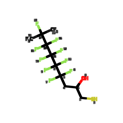 OC(CS)CC(F)(F)C(F)(F)C(F)(F)C(F)(F)C(F)(C(F)(F)F)C(F)(F)F